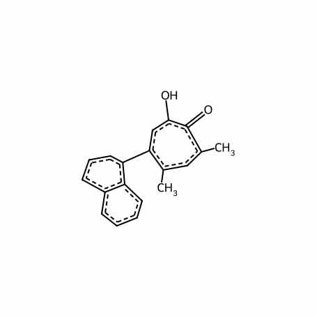 Cc1cc(C)c(=O)c(O)cc1-c1cccc2ccccc12